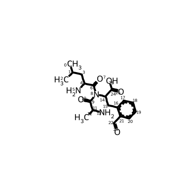 CC(C)CC(N)C(=O)N(C(=O)C(C)N)C(Cc1ccccc1C=O)C(=O)O